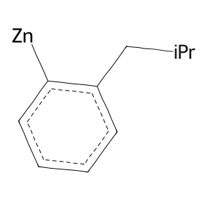 CC(C)Cc1cccc[c]1[Zn]